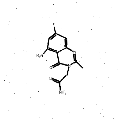 Cc1nc2cc(F)cc(N)c2c(=O)n1CC(N)=O